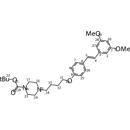 COc1cc(/C=C/c2ccc(OCCCCN3CCN(C(=O)OC(C)(C)C)CC3)cc2)cc(OC)c1